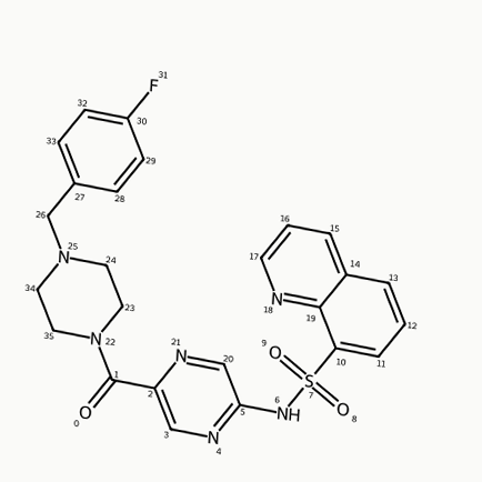 O=C(c1cnc(NS(=O)(=O)c2cccc3cccnc23)cn1)N1CCN(Cc2ccc(F)cc2)CC1